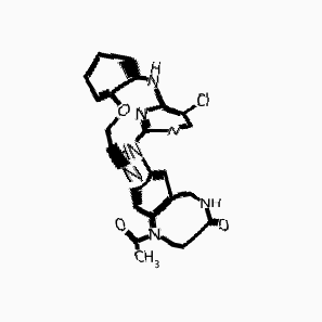 CC(=O)N1CCC(=O)NCc2cc(Nc3ncc(Cl)c(Nc4ccccc4OCC#N)n3)ccc21